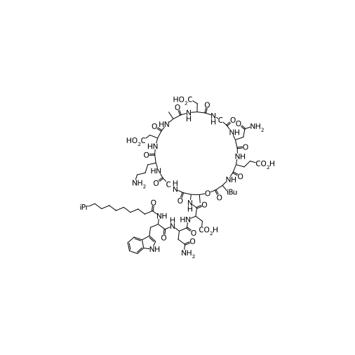 CCC(C)C1NC(=O)C(CCC(=O)O)NC(=O)C(CC(N)=O)NC(=O)CNC(=O)C(CC(=O)O)NC(=O)C(C)NC(=O)C(CC(=O)O)NC(=O)C(CCCN)NC(=O)CNC(=O)C(NC(=O)C(CC(=O)O)NC(=O)C(CC(N)=O)NC(=O)C(Cc2c[nH]c3ccccc23)NC(=O)CCCCCCCCC(C)C)C(C)OC1=O